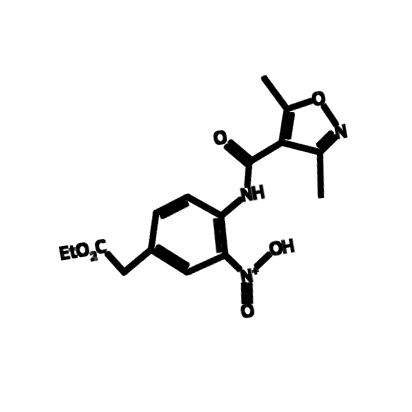 CCOC(=O)Cc1ccc(NC(=O)c2c(C)noc2C)c([N+](=O)O)c1